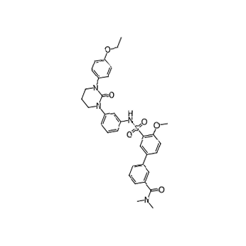 CCOc1ccc(N2CCCN(c3cccc(NS(=O)(=O)c4cc(-c5cccc(C(=O)N(C)C)c5)ccc4OC)c3)C2=O)cc1